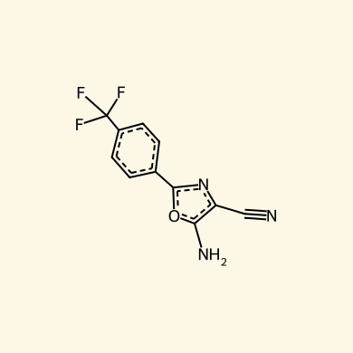 N#Cc1nc(-c2ccc(C(F)(F)F)cc2)oc1N